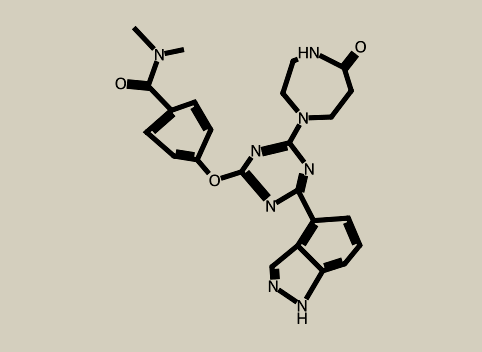 CN(C)C(=O)c1ccc(Oc2nc(-c3cccc4[nH]ncc34)nc(N3CCNC(=O)CC3)n2)cc1